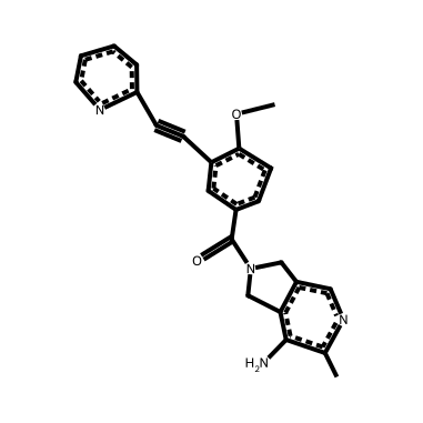 COc1ccc(C(=O)N2Cc3cnc(C)c(N)c3C2)cc1C#Cc1ccccn1